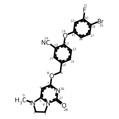 CN1CCn2c1cc(OCc1ccc(Oc3ccc(Br)c(F)c3)c(C#N)c1)nc2=O